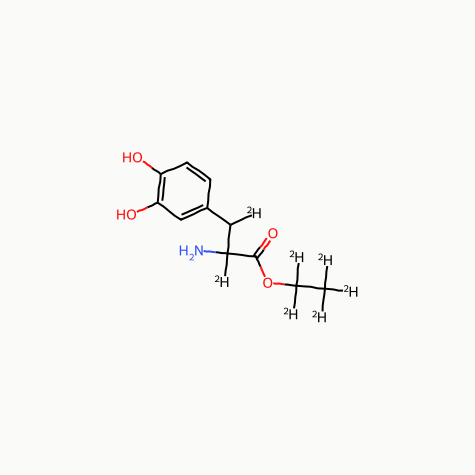 [2H]C(c1ccc(O)c(O)c1)C([2H])(N)C(=O)OC([2H])([2H])C([2H])([2H])[2H]